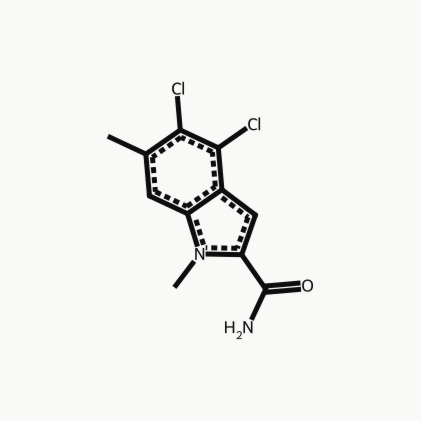 Cc1cc2c(cc(C(N)=O)n2C)c(Cl)c1Cl